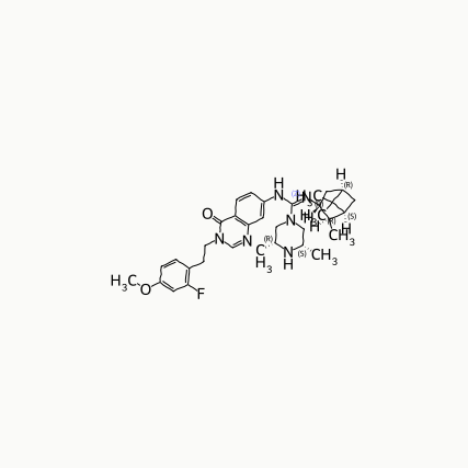 COc1ccc(CCn2cnc3cc(N/C(=N/[C@@H]4C[C@H]5C[C@@H]([C@H]4C)C5(C)C)N4C[C@@H](C)N[C@@H](C)C4)ccc3c2=O)c(F)c1